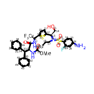 COC(=O)N[C@H](C(=O)N[C@H](c1ccc([C@@H](CO)N(CCC(C)(C)C)S(=O)(=O)c2ccc(N)cc2F)s1)C(F)(F)F)C(c1ccccc1)c1ccccc1